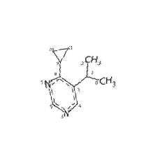 CC(C)c1cncnc1C1CC1